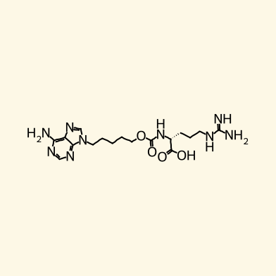 N=C(N)NCCC[C@@H](NC(=O)OCCCCCn1cnc2c(N)ncnc21)C(=O)O